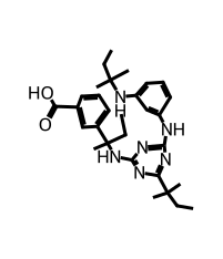 CCC(C)(C)Nc1cccc(Nc2nc(NC(C)(CC)c3cccc(C(=O)O)c3)nc(C(C)(C)CC)n2)c1